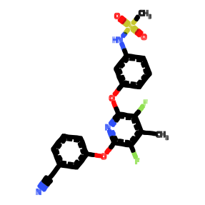 Cc1c(F)c(Oc2cccc(C#N)c2)nc(Oc2cccc(NS(C)(=O)=O)c2)c1F